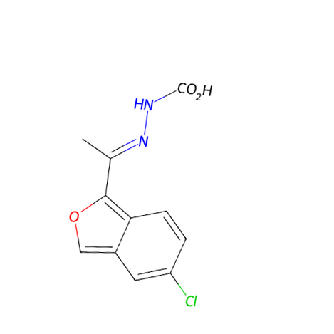 CC(=NNC(=O)O)c1occ2cc(Cl)ccc12